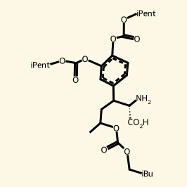 CCCC(C)OC(=O)Oc1ccc(C(CC(C)OC(=O)OCC(C)CC)[C@H](N)C(=O)O)cc1OC(=O)OC(C)CCC